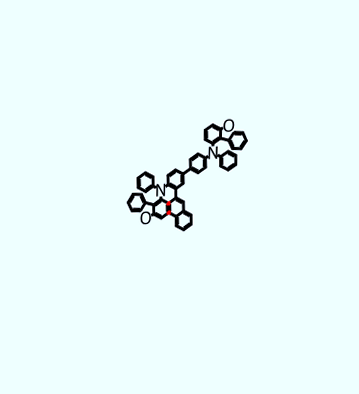 c1ccc(N(c2ccc(-c3ccc(N(c4ccccc4)c4cccc5oc6ccccc6c45)c(-c4ccc5ccccc5c4)c3)cc2)c2cccc3oc4ccccc4c23)cc1